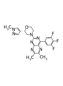 Cc1nc2nc(N3CCO[C@@H](c4cnn(C)c4)C3)nc(-c3cc(F)c(F)c(F)c3)c2nc1C